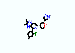 Cc1ccc(-c2nc([C@H]3CCO[C@H](c4cnn(C)c4)C3)cc3nc(C)c(C)nc23)c(F)c1